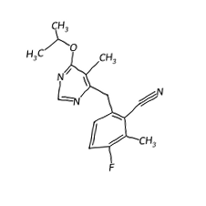 Cc1c(Cc2ccc(F)c(C)c2C#N)ncnc1OC(C)C